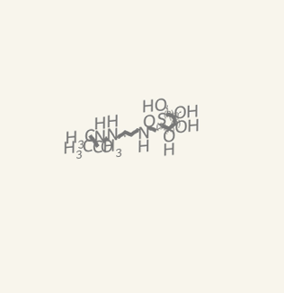 CC(C)(C)NC(=O)NC[CH]CCNC(=O)C[C@@H]1S[C@H](CO)[C@H](O)[C@H](O)[C@H]1O